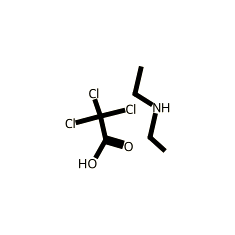 CCNCC.O=C(O)C(Cl)(Cl)Cl